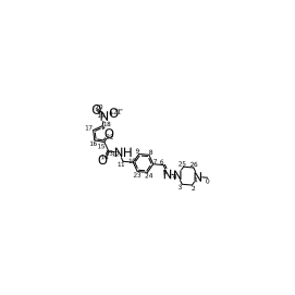 CN1CCN(N=Cc2ccc(CNC(=O)c3ccc([N+](=O)[O-])o3)cc2)CC1